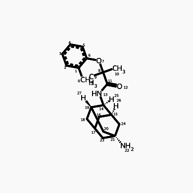 Cc1ccccc1OC(C)(C)C(=O)N[C@H]1[C@@H]2CC3C[C@H]1C[C@](N)(C3)C2